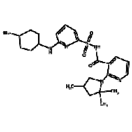 CC1CN(c2ncccc2C(=O)NS(=O)(=O)c2cccc(NC3CCC(C(C)(C)C)CC3)n2)C(C)(C)C1